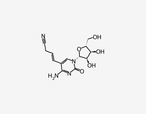 N#CCC=Cc1cn([C@@H]2O[C@H](CO)[C@@H](O)[C@H]2O)c(=O)nc1N